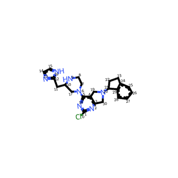 Clc1nc2c(c(N3CCNC(Cc4ncc[nH]4)C3)n1)CN(C1CCc3ccccc31)C2